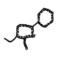 CCc1ccc(-c2ccccc2)[nH]c1=O